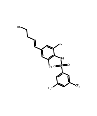 CC(C)c1cc(/C=C/CCO)cc(C(C)C)c1NS(=O)(=O)c1cc(C(F)(F)F)cc(C(F)(F)F)c1